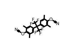 Cc1cc(C(c2cc(C)c(OC#N)c(C)c2)(C(F)(F)F)C(F)(F)F)cc(C)c1OC#N